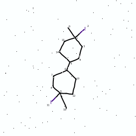 CC1(I)CCC(C2CCC(C)(I)CC2)CC1